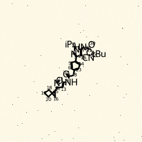 CC(C)n1nc(-c2ccc(CC(=O)Nc3cc(C4CC45CCC5)no3)cc2)c(C#N)c1NC(=O)OC(C)(C)C